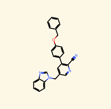 N#Cc1ncc(Cn2cnc3ccccc32)cc1-c1ccc(OCc2ccccc2)cc1